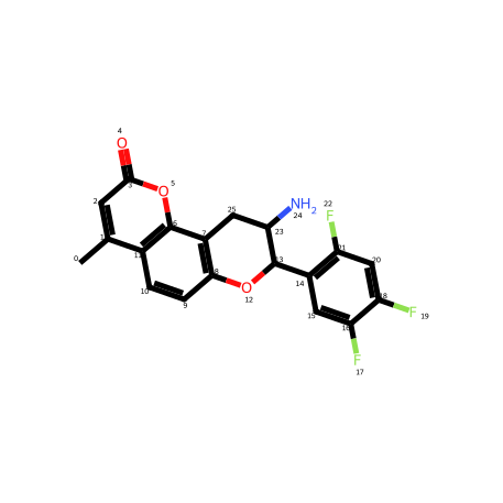 Cc1cc(=O)oc2c3c(ccc12)OC(c1cc(F)c(F)cc1F)C(N)C3